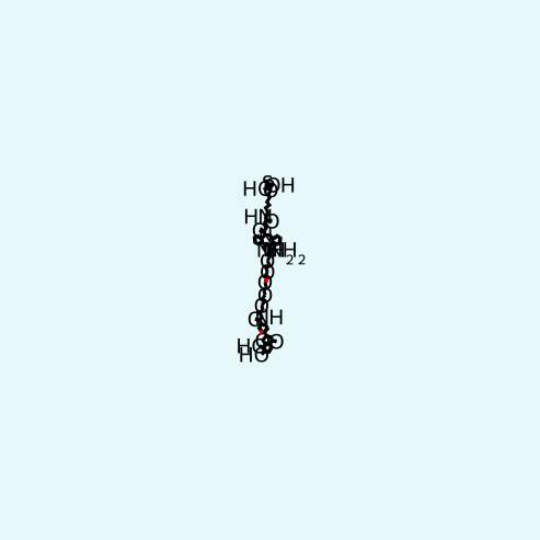 N/C1=C(\N(N)CCOCCOCCOCCOCCOCCNC(=O)c2ccc(-c3cc(=O)c4ccc(O)c(O)c4o3)cc2)c2ccccc2CN(C(=O)CCC(=O)NCCCCCCOP(O)(O)=S)c2ccccc21